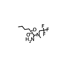 CCCCS(=O)(=O)[C](N)N(C)CC(F)(F)F